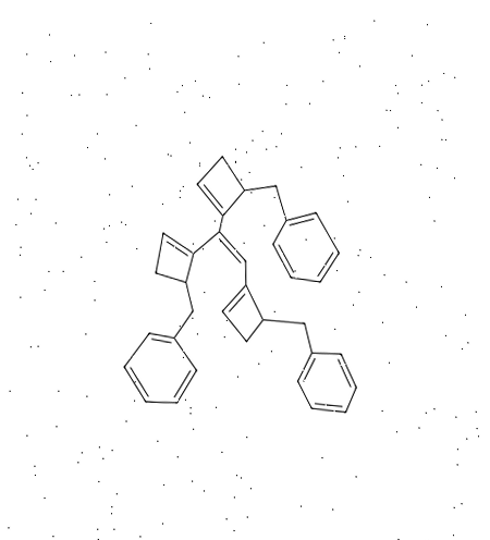 C(=C(C1=CCC1Cc1ccccc1)C1=CCC1Cc1ccccc1)C1=CCC1Cc1ccccc1